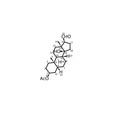 CC(=O)O[C@H]1CC[C@@]2(C)[C@H](CC[C@@H]3[C@@H]2CC[C@]2(C)[C@@H](C=O)CC[C@]32O)C1